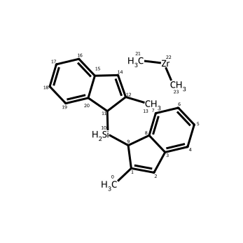 CC1=Cc2ccccc2C1[SiH2]C1C(C)=Cc2ccccc21.[CH3][Zr][CH3]